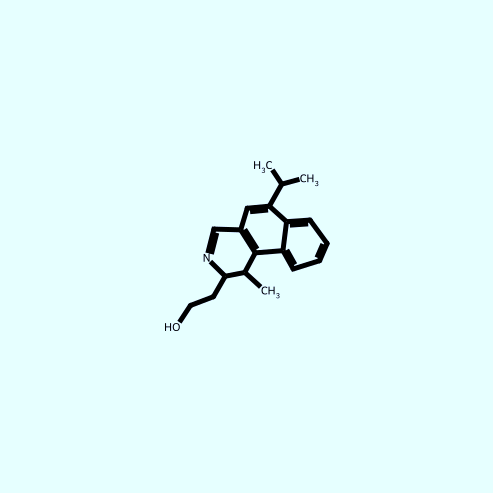 CC(C)c1cc2c(c3ccccc13)C(C)C(CCO)N=C2